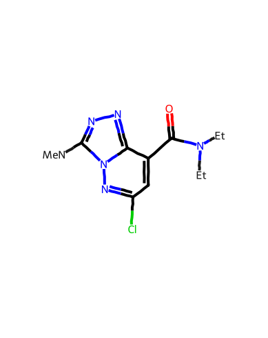 CCN(CC)C(=O)c1cc(Cl)nn2c(NC)nnc12